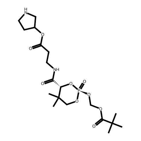 CC(C)(C)C(=O)OCO[P@@]1(=O)OCC(C)(C)[C@H](C(=O)NCCC(=O)OC2CCNC2)O1